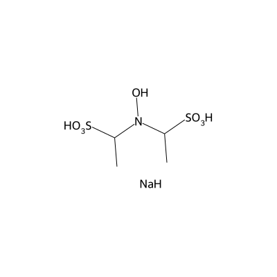 CC(N(O)C(C)S(=O)(=O)O)S(=O)(=O)O.[NaH]